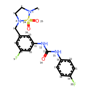 CN1CCN(Cc2cc(F)cc(NC(=O)Nc3ccc(F)cc3)c2)S1(=O)=O